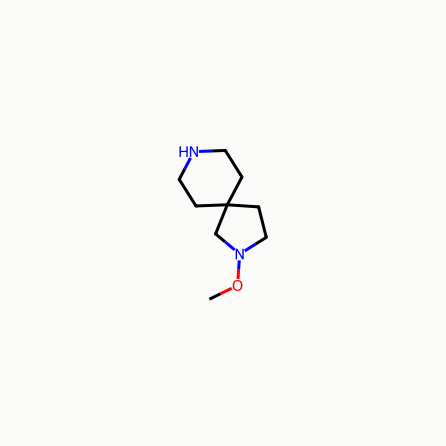 CON1CCC2(CCNCC2)C1